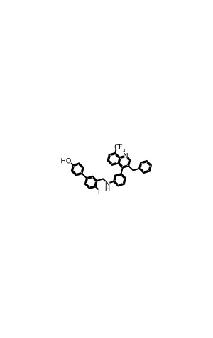 Oc1ccc(-c2ccc(F)c(CNc3cccc(-c4c(Cc5ccccc5)cnc5c(C(F)(F)F)cccc45)c3)c2)cc1